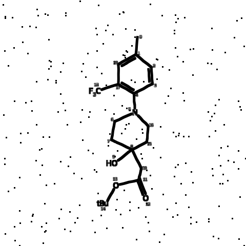 Cc1ccc(N2CCC(O)(CC(=O)OC(C)(C)C)CC2)c(C(F)(F)F)c1